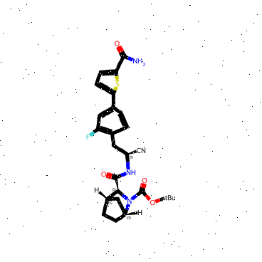 CC(C)(C)OC(=O)N1[C@@H]2CC[C@@H](C2)[C@H]1C(=O)N[C@H](C#N)Cc1ccc(-c2ccc(C(N)=O)s2)cc1F